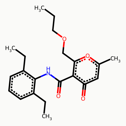 CCCOCc1oc(C)cc(=O)c1C(=O)Nc1c(CC)cccc1CC